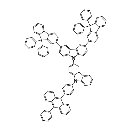 c1ccc(-c2c3ccccc3c(-c3ccc(-n4c5ccccc5c5cc(-n6c7ccc(-c8ccc9c(c8)C(c8ccccc8)(c8ccccc8)c8ccccc8-9)cc7c7cc(-c8ccc9c(c8)C(c8ccccc8)(c8ccccc8)c8ccccc8-9)ccc76)ccc54)cc3)c3ccccc23)cc1